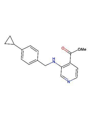 COC(=O)c1ccncc1NCc1ccc(C2CC2)cc1